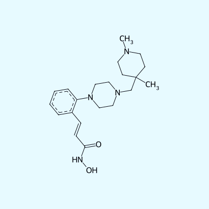 CN1CCC(C)(CN2CCN(c3ccccc3/C=C/C(=O)NO)CC2)CC1